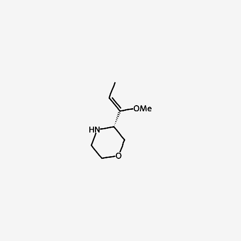 CC=C(OC)[C@@H]1COCCN1